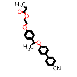 C=CC(=O)OCCOc1ccc(C(=C)Oc2ccc(-c3ccc(C#N)cc3)cc2)cc1